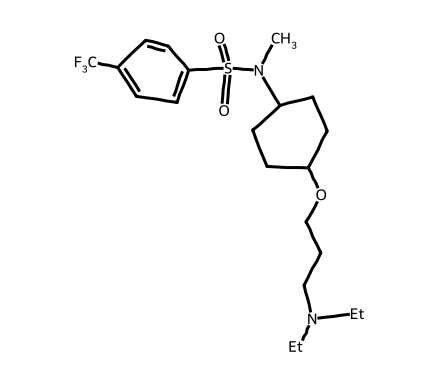 CCN(CC)CCCOC1CCC(N(C)S(=O)(=O)c2ccc(C(F)(F)F)cc2)CC1